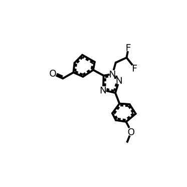 COc1ccc(-c2nc(-c3cccc(C=O)c3)n(CC(F)F)n2)cc1